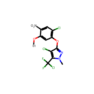 CCOc1cc(Oc2nn(C)c(C(F)(F)Cl)c2Cl)c(Cl)cc1[N+](=O)[O-]